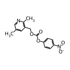 Cc1cnc(C)c(COC(=O)Oc2ccc([N+](=O)[O-])cc2)c1